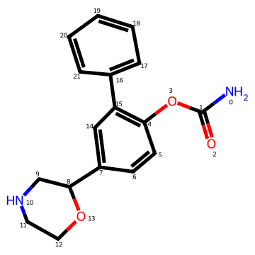 NC(=O)Oc1ccc(C2CNCCO2)cc1-c1ccccc1